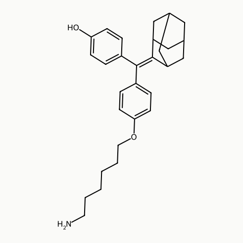 NCCCCCCOc1ccc(C(=C2C3CC4CC(C3)CC2C4)c2ccc(O)cc2)cc1